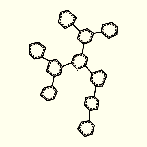 c1ccc(-c2ccc(-c3cccc(-c4cc(-c5cc(-c6ccccc6)cc(-c6ccccc6)c5)cc(-c5cc(-c6ccccc6)cc(-c6ccccc6)c5)n4)c3)cc2)cc1